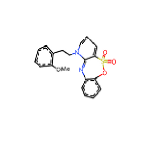 COc1ccccc1CCN1C=CC=C2C1=Nc1ccccc1OS2(=O)=O